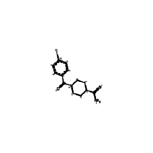 NC(=O)C1CCN(C(=O)c2ccc(F)cc2)CC1